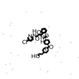 O=C(Nc1ccc(Cl)cn1)c1oc2ccccc2c1NC(=O)[C@H]1CC[C@H](C(=O)N2CCC(CCO)CC2)CC1